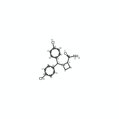 NC(=O)C1[CH]CN1C(c1ccc(Cl)cc1)c1ccc(Cl)cc1